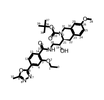 CCOc1cc(-c2nnc(C)o2)ccc1C(=O)NC[C@@H](O)[C@@H]1Cc2ccc(OC)cc2CN1C(=O)OC(C)(C)C